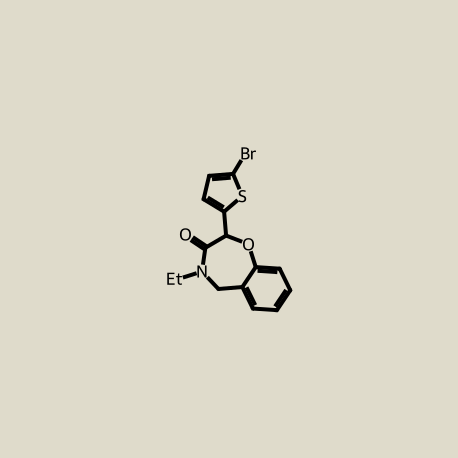 CCN1Cc2ccccc2OC(c2ccc(Br)s2)C1=O